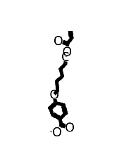 C=CC(=O)OCCCCCCOc1ccc(C([O])=O)cc1